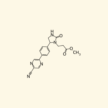 COC(=O)CCN1C(=O)NCC1c1ccc(-c2cnc(C#N)cn2)cc1